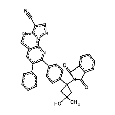 CC1(O)CC(c2ccc(-c3nc4c(cnc5c(C#N)cnn54)cc3-c3ccccc3)cc2)(N2C(=O)c3ccccc3C2=O)C1